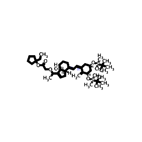 C=C1/C(=C\C=C2/CCC[C@]3(C)C(C(C)OCC(=O)OC4(CC)CCCC4)=CC[C@@H]23)C[C@@H](O[Si](C)(C)C(C)(C)C)C[C@@H]1O[Si](C)(C)C(C)(C)C